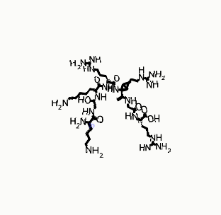 C=C(NCC(=O)N[C@@H](CCCNC(=N)N)C(=O)O)C1(NC(=O)[C@H](CCCNC(=N)N)NC(=O)C(CCCCCN)NC(O)CNC(=O)/C(N)=C/CCCN)C2C(CCNC(=N)N)C21